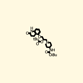 CC(C)COC(=O)NC1CCN(CC(COc2cccc3c2CCC(=O)N3)OC(=O)C(C)(C)C)CC1